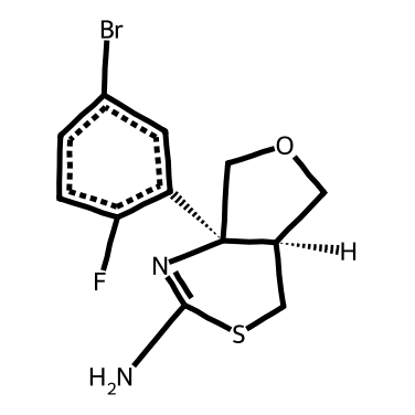 NC1=N[C@@]2(c3cc(Br)ccc3F)COC[C@H]2CS1